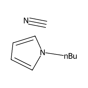 C#N.CCCCn1cccc1